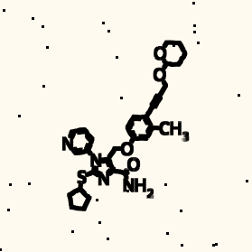 Cc1cc(OCc2c(C(N)=O)nc(SC3CCCC3)n2-c2cccnc2)ccc1C#CCOC1CCCCO1